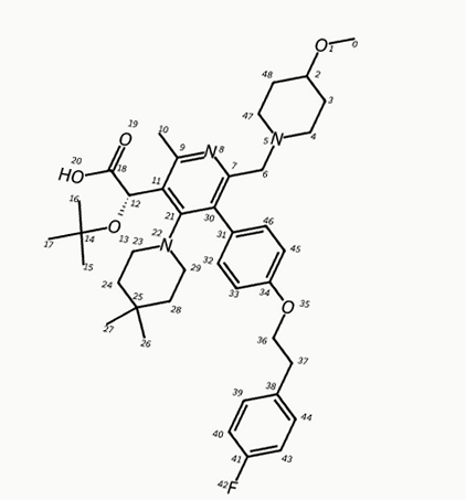 COC1CCN(Cc2nc(C)c([C@H](OC(C)(C)C)C(=O)O)c(N3CCC(C)(C)CC3)c2-c2ccc(OCCc3ccc(F)cc3)cc2)CC1